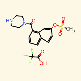 CS(=O)(=O)Oc1ccc2cccc(C(=O)N3CCNCC3)c2c1.O=C(O)C(F)(F)F